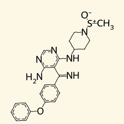 C[S+]([O-])N1CCC(Nc2ncnc(N)c2C(=N)c2ccc(Oc3ccccc3)cc2)CC1